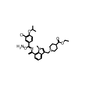 C=C(/N=C(\ON)c1ccc(OC(C)C)c(Cl)c1)c1cccc2c(CN3CCC(C(=O)OCC)CC3)cn(C)c12